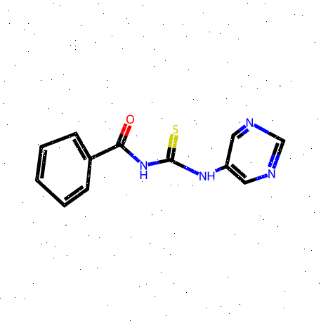 O=C(NC(=S)Nc1cncnc1)c1ccccc1